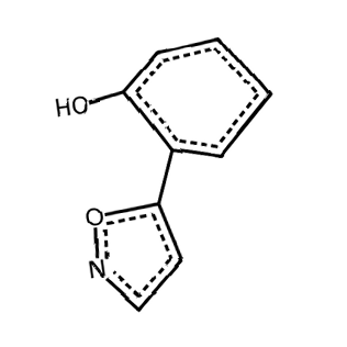 Oc1ccccc1-c1ccno1